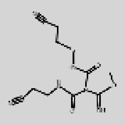 COC(=N)N(C(=O)NCCC#N)C(=O)NSCCC#N